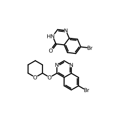 Brc1ccc2c(OC3CCCCO3)ncnc2c1.O=c1[nH]cnc2cc(Br)ccc12